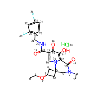 CCO[C@H]1C[C@@]2(CN(CC)C(=O)c3c(O)c(=O)c(C(=O)NCc4ccc(F)cc4F)cn32)C1.Cl